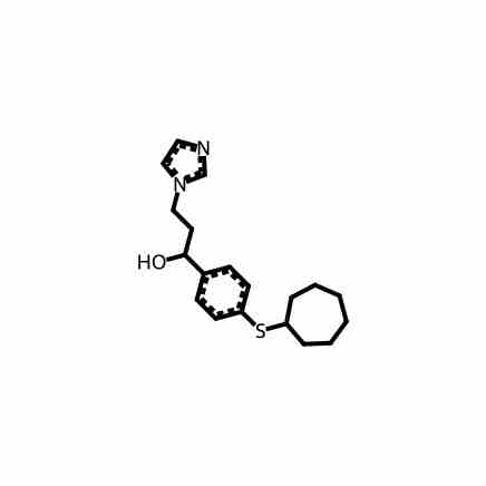 OC(CCn1ccnc1)c1ccc(SC2CCCCCC2)cc1